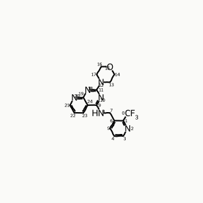 FC(F)(F)c1ncccc1CNc1nc(N2CCOCC2)nc2ncccc12